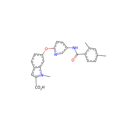 Cc1ccc(C(=O)Nc2ccc(Oc3ccc4cc(C(=O)O)n(C)c4c3)nc2)c(C)c1